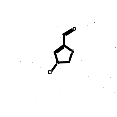 O=[C]C1=CN(Cl)CS1